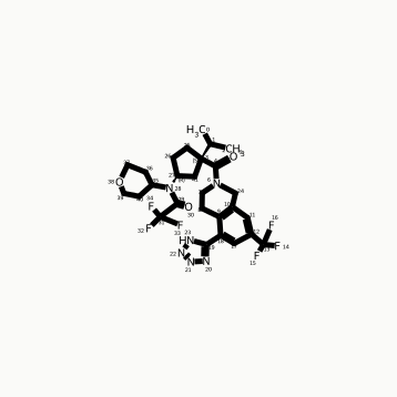 CC(C)[C@]1(C(=O)N2CCc3c(cc(C(F)(F)F)cc3-c3nnn[nH]3)C2)CC[C@@H](N(C(=O)C(F)(F)F)C2CCOCC2)C1